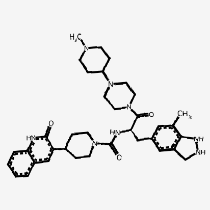 Cc1cc(C[C@@H](NC(=O)N2CCC(c3cc4ccccc4[nH]c3=O)CC2)C(=O)N2CCN(C3CCN(C)CC3)CC2)cc2c1NNC2